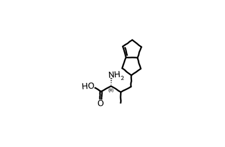 CC(CC1CC2=CCCC2C1)[C@@H](N)C(=O)O